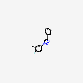 Cc1cc(-n2cc(-c3ccccc3)nn2)ccc1F